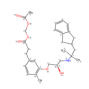 CC(C)(CC1Cc2ccccc2C1)NC[C@@H](O)COc1cc(CCC(=O)OCOC(=O)C(C)(C)C)ccc1C#N